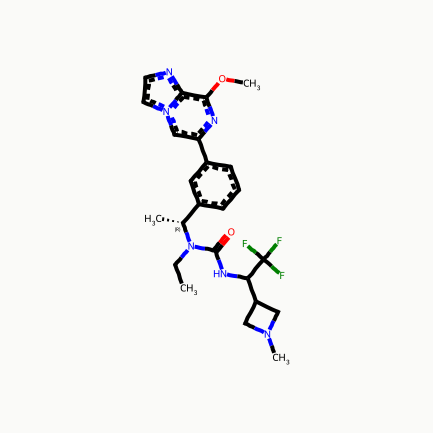 CCN(C(=O)NC(C1CN(C)C1)C(F)(F)F)[C@H](C)c1cccc(-c2cn3ccnc3c(OC)n2)c1